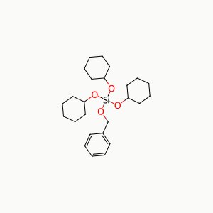 c1ccc(CO[Si](OC2CCCCC2)(OC2CCCCC2)OC2CCCCC2)cc1